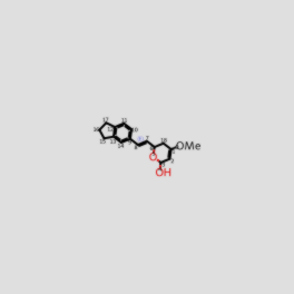 COC1=CC(O)OC(/C=C/c2ccc3c(c2)CCC3)C1